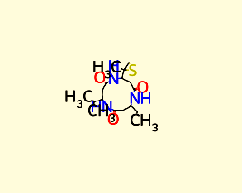 CCC1CC(=O)NC(C(C)C)CC(=O)NC(C2(C)CS2)CC(=O)N1